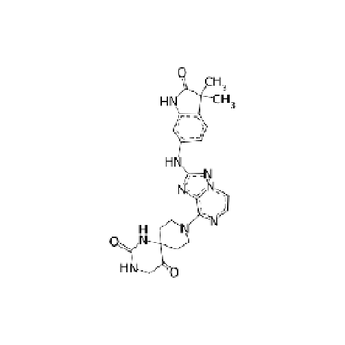 CC1(C)C(=O)Nc2cc(Nc3nc4c(N5CCC6(CC5)NC(=O)NCC6=O)nccn4n3)ccc21